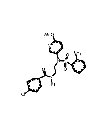 CCN(CCN(c1ccc(OC)nc1)S(=O)(=O)c1ccccc1C)C(=O)c1ccc(Cl)cc1